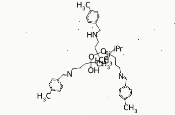 Cc1ccc(C=NCCCC(C)(O)OC(C)(CCNCc2ccc(C)cc2)O[Si](C)(CCCN=Cc2ccc(C)cc2)C(C)C)cc1